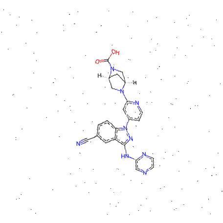 N#Cc1ccc2c(c1)c(Nc1cnccn1)nn2-c1ccnc(N2C[C@@H]3C[C@H]2CN3C(=O)O)c1